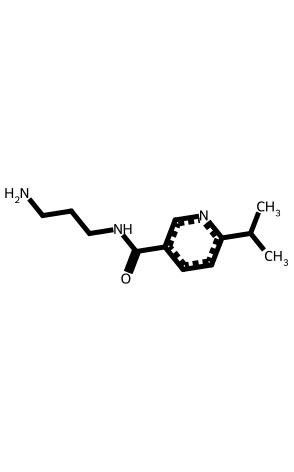 CC(C)c1ccc(C(=O)NCCCN)cn1